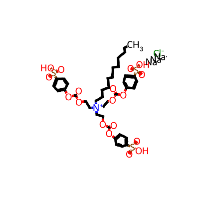 CCCCCCCCCCCC[N+](CCOC(=O)Oc1ccc(S(=O)(=O)O)cc1)(CCOC(=O)Oc1ccc(S(=O)(=O)O)cc1)CCOC(=O)Oc1ccc(S(=O)(=O)O)cc1.[Cl-].[Na].[Na].[Na]